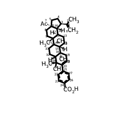 C=C(C)[C@@H]1CC[C@]2(C(C)=O)CC[C@]3(C)[C@H](CC[C@@H]4[C@@]5(C)CC=C(c6ccc(C(=O)O)cc6)C(C)(C)[C@@H]5CC[C@]43C)[C@@H]12